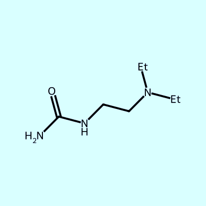 CCN(CC)CCNC(N)=O